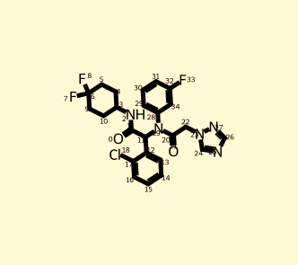 O=C(NC1CCC(F)(F)CC1)C(c1ccccc1Cl)N(C(=O)Cn1cncn1)c1cccc(F)c1